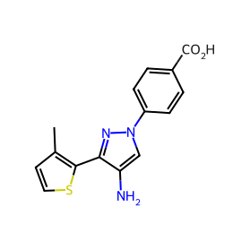 Cc1ccsc1-c1nn(-c2ccc(C(=O)O)cc2)cc1N